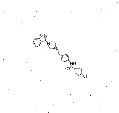 O=C(Nc1ccc(CCN2CCN(c3nsc4ccccc34)CC2)cc1)c1ccc(Cl)cc1